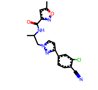 Cc1cc(C(=O)NC(C)Cn2ccc(-c3ccc(C#N)c(Cl)c3)n2)no1